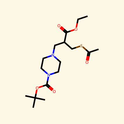 CCOC(=O)C(CSC(C)=O)CN1CCN(C(=O)OC(C)(C)C)CC1